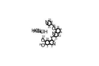 COc1cc2cncc(Cc3ccc4cccc(OCc5ccncc5)c4n3)c2cc1OC.Cl.Cl.Cl